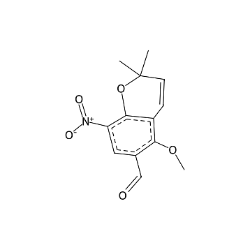 COc1c(C=O)cc([N+](=O)[O-])c2c1C=CC(C)(C)O2